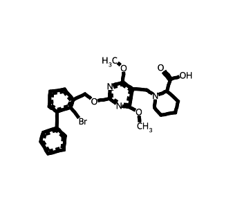 COc1nc(OCc2cccc(-c3ccccc3)c2Br)nc(OC)c1CN1CCCCC1C(=O)O